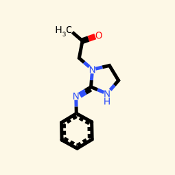 CC(=O)CN1CCN/C1=N\c1ccccc1